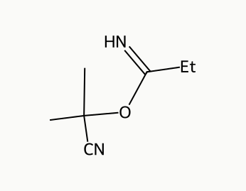 CCC(=N)OC(C)(C)C#N